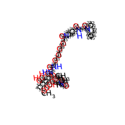 COc1cccc2c1C(=O)c1c(O)c3c(c(O)c1C2=O)C[C@@](O)(C(=O)NCC(=O)NCCOCCOCCOCCOCCC(=O)N1CCC2(CCC(C(=O)NCCC(=O)N4Cc5ccccc5/C=C\c5ccccc54)CC2)CC1)C[C@@H]3O[C@H]1C[C@H]2[C@H](O[C@@H]3COCCN32)[C@H](C)O1